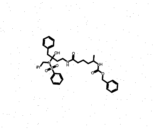 CC(C)CN(C(O)(CCNC(=O)CCCC(C)NC(=O)OCc1ccccc1)Cc1ccccc1)S(=O)(=O)c1ccccc1